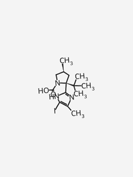 Cc1nc([C@@]2(C(C)(C)C)C[C@H](C)CN2C(=O)O)[nH]c1I